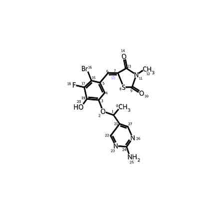 CC(Oc1cc(/C=C2\SC(=O)N(C)C2=O)c(Br)c(F)c1O)c1cnc(N)nc1